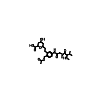 CNC(C(=O)NCC(=O)Nc1ccc(COC(C)=O)c(CCC2CC(O)CC(C(=O)O)O2)c1)C(C)C